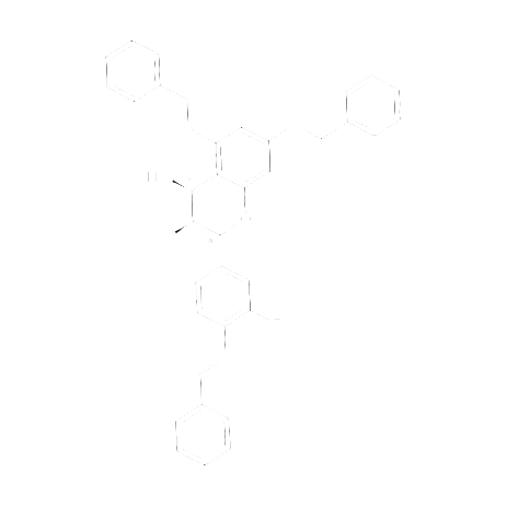 O[C@@H]1[C@@H](c2ccc(OCc3ccccc3)c(F)c2)Oc2cc(OCc3ccccc3)cc(OCc3ccccc3)c2[C@@H]1O